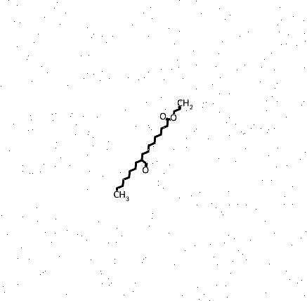 C=CCOC(=O)CCCCCCCCC(C=O)CCCCCCCC